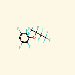 Fc1[c]c(F)c(F)c(OC(F)(C(F)(F)F)C(F)(F)C(F)(F)F)c1F